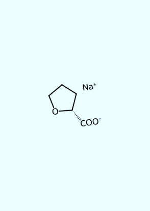 O=C([O-])[C@H]1CCCO1.[Na+]